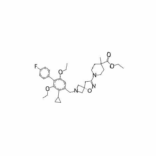 CCOC(=O)C1(C)CCN(C2=NOC3(C2)CN(Cc2cc(OCC)c(-c4ccc(F)cc4)c(OCC)c2C2CC2)C3)CC1